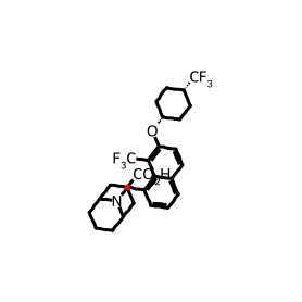 O=C(O)C1CC2CCCC(C1)N2Cc1cccc2ccc(O[C@H]3CC[C@@H](C(F)(F)F)CC3)c(C(F)(F)F)c12